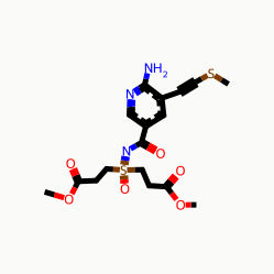 COC(=O)CCS(=O)(CCC(=O)OC)=NC(=O)c1cnc(N)c(C#CSC)c1